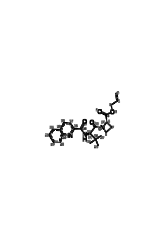 C=CCOC(=O)[C@H]1CCN1C(=O)[C@H](NC(=O)c1ccc2ccccc2n1)C(C)(C)C